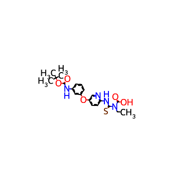 CCN(C(=O)O)C(=S)Nc1ccc(Oc2cccc(NC(=O)OC(C)(C)C)c2)cn1